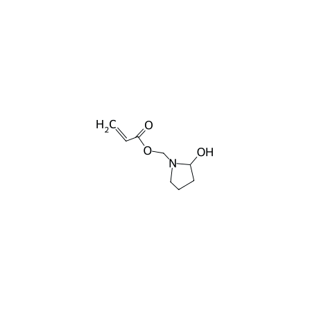 C=CC(=O)OCN1CCCC1O